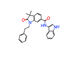 CC1(C)C(=O)N(CCc2ccccc2)c2cc(C(=O)Nc3c[nH]c4ccccc34)ccc21